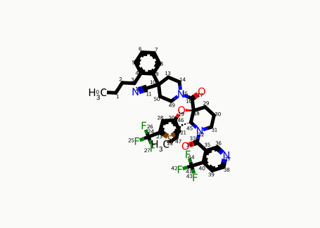 CCCCc1ccccc1C1(C#N)CCN(C(=O)[C@]2(Oc3csc(C(F)(F)F)c3)CCCN(C(=O)c3cnccc3C(F)(F)F)[C@@H]2CCC)CC1